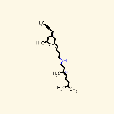 CC#C/C=C(\C=C(C)C)CCCCCCNCC/C(C)=C/CCC(C)C